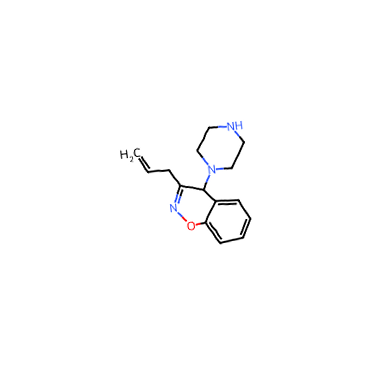 C=CCC1=NOc2ccccc2C1N1CCNCC1